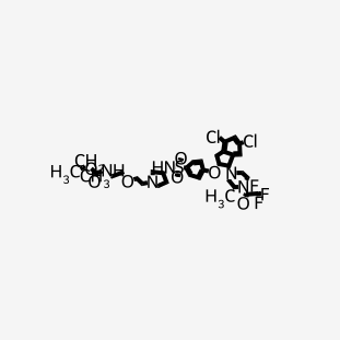 C[C@@H]1CN([C@H]2c3cc(Cl)cc(Cl)c3C[C@@H]2Oc2ccc(S(=O)(=O)N[C@H]3CCN(CCOCCNC(=O)OC(C)(C)C)C3)cc2)CCN1C(=O)C(F)(F)F